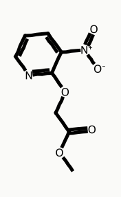 COC(=O)COc1ncccc1[N+](=O)[O-]